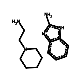 NCCN1CCCCC1.Nc1nc2ccccc2[nH]1